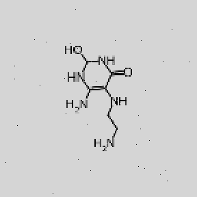 NCCNC1=C(N)NC(O)NC1=O